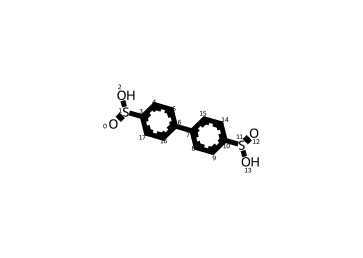 O=S(O)c1ccc(-c2ccc(S(=O)O)cc2)cc1